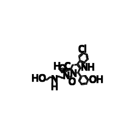 CC12Cc3c([nH]c4ccc(Cl)cc34)C(c3cccc(O)c3)N1C(=O)N(CCNCCO)C2=O